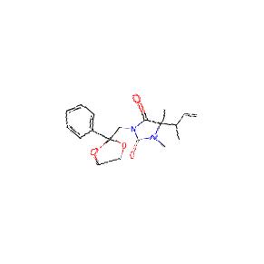 C=CC(C)C1(C)C(=O)N(CC2(c3ccccc3)OCCO2)C(=O)N1C